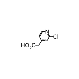 O=C(O)Cc1ccnc(Cl)c1